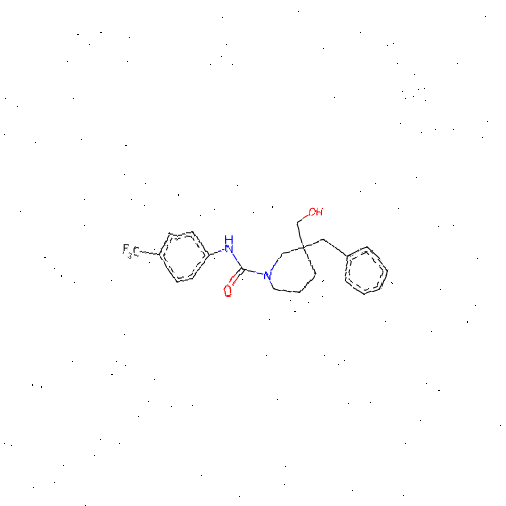 O=C(Nc1ccc(C(F)(F)F)cc1)N1CCCC(CO)(Cc2ccccc2)C1